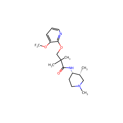 C[C@@H]1CN(C)CC[C@@H]1NC(=O)C(C)(C)COc1ncccc1OC(F)(F)F